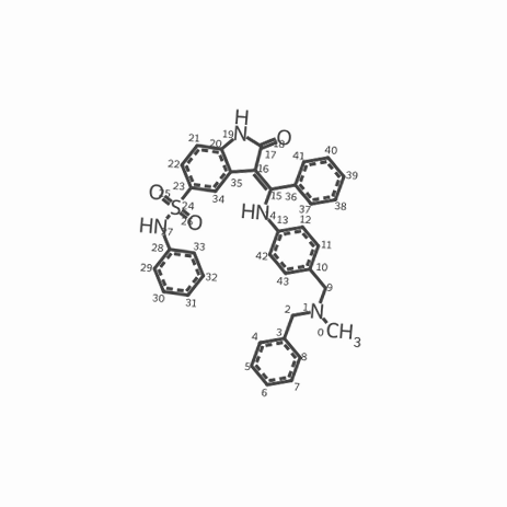 CN(Cc1ccccc1)Cc1ccc(NC(=C2C(=O)Nc3ccc(S(=O)(=O)Nc4ccccc4)cc32)c2ccccc2)cc1